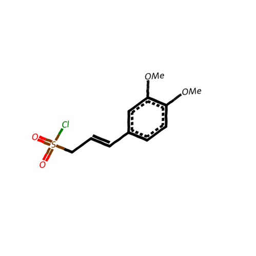 COc1ccc(C=CCS(=O)(=O)Cl)cc1OC